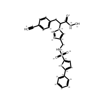 C#Cc1ccc(CC(C(=O)NO)n2cc(CNS(=O)(=O)c3ccc(-c4ccccc4)s3)nn2)cc1